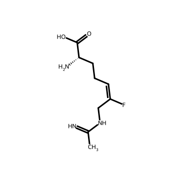 CC(=N)NC/C(F)=C\CC[C@H](N)C(=O)O